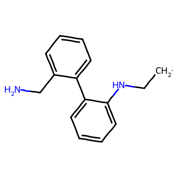 [CH2]CNc1ccccc1-c1ccccc1CN